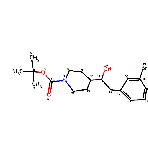 CC(C)(C)OC(=O)N1CCC(C(O)Cc2cccc(Br)c2)CC1